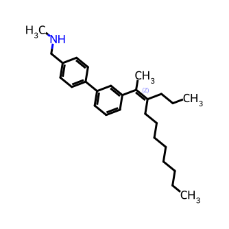 CCCCCCCC/C(CCC)=C(/C)c1cccc(-c2ccc(CNC)cc2)c1